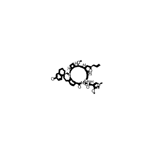 C=CC[C@@H]1C[C@@H]2C[C@H](OC)[C@@H]3CC[C@H]3CN3C[C@@]4(CCCc5cc(Cl)ccc54)CCc4ccc(cc43)C(=O)N=[S@](=O)(NC(=O)c3cn(C)nc3OC)C[C@@H](C)[C@H]2O1